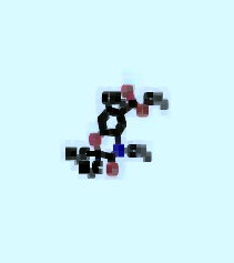 COC(=O)c1cc2c(cc1C)OC(C)(C)C(=O)N2C